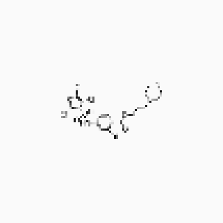 O=C(OCCCN1CCOCC1)c1ccc(NS(=O)(=O)c2c(Cl)sc(Cl)c2Cl)cc1O